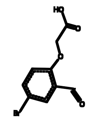 O=[C]c1cc(Br)ccc1OCC(=O)O